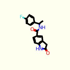 CC(NC(=O)c1ccc2c(c1)CC(=O)N2)c1ccc(F)cc1